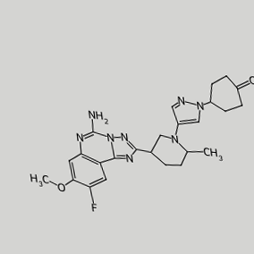 COc1cc2nc(N)n3nc(C4CCC(C)N(c5cnn(C6CCC(=O)CC6)c5)C4)nc3c2cc1F